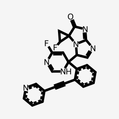 O=C1N=C2N=CC(C3(c4ccccc4C#Cc4cccnc4)C=C(F)N=CN3)N2C12CC2F